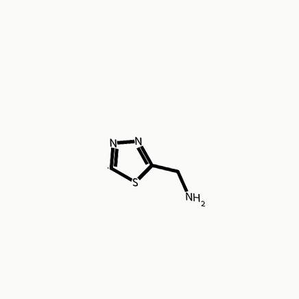 NCc1nn[c]s1